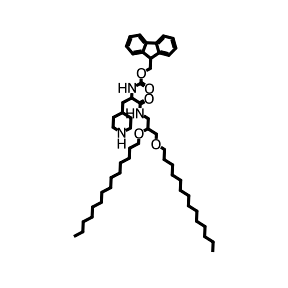 CCCCCCCCCCCCCCOCC(CNC(=O)C(CC1CCNCC1)NC(=O)OCC1c2ccccc2-c2ccccc21)OCCCCCCCCCCCCCC